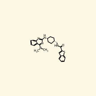 CN(C)c1nc(N[C@H]2CC[C@@H](CNC(=O)c3cc4ccccc4s3)CC2)nc2ccccc12